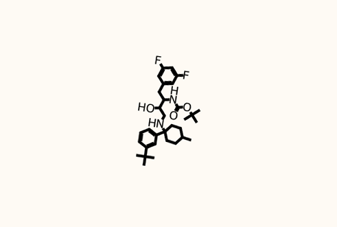 CC1CCC(NCC(O)C(Cc2cc(F)cc(F)c2)NC(=O)OC(C)(C)C)(c2cccc(C(C)(C)C)c2)CC1